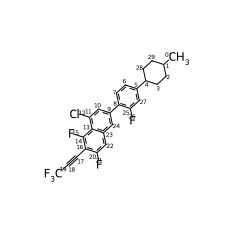 CC1CCC(c2ccc(-c3cc(Cl)c4c(F)c(C#CC(F)(F)F)c(F)cc4c3)c(F)c2)CC1